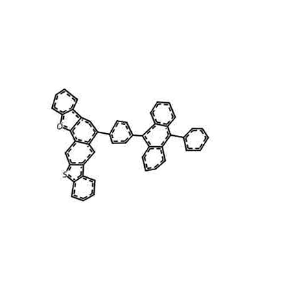 c1ccc(-c2c3ccccc3c(-c3ccc(-c4cc5c6ccccc6oc5c5cc6sc7ccccc7c6cc45)cc3)c3ccccc23)cc1